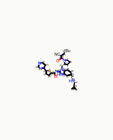 CC(C)(C)/C=C(\C#N)C(=O)N1CCC[C@@H]1Cn1/c(=N/C(=O)c2ccc(-c3ccncn3)s2)[nH]c2cc(CNCC3CC3)ccc21